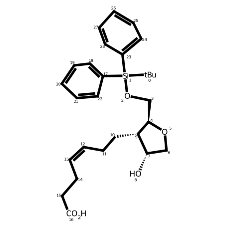 CC(C)(C)[Si](OC[C@H]1OC[C@H](O)[C@@H]1CC/C=C\CCC(=O)O)(c1ccccc1)c1ccccc1